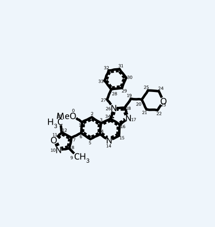 COc1cc2c(cc1-c1c(C)noc1C)ncc1nc(CC3CCOCC3)n(Cc3ccccc3)c12